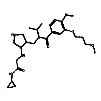 COCCCOc1cc(C(=O)N(CC2CNCC2NCC(=O)NC2CC2)C(C)C)ccc1OC